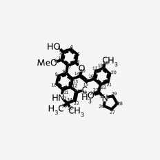 COc1c(O)ccc2c1-c1ccc3c(c1/C(=C/c1cc(C)ccc1C(=O)N1CCCC1)O2)C(C)=CC(C)(C)N3